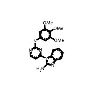 COc1cc(Nc2nccc(-n3c(N)nc4ccccc43)n2)cc(OC)c1OC